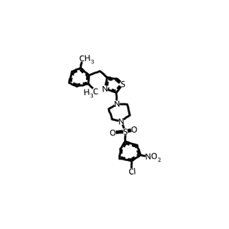 Cc1cccc(C)c1Cc1csc(N2CCN(S(=O)(=O)c3ccc(Cl)c([N+](=O)[O-])c3)CC2)n1